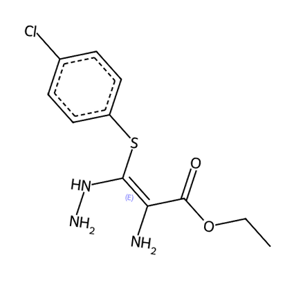 CCOC(=O)/C(N)=C(/NN)Sc1ccc(Cl)cc1